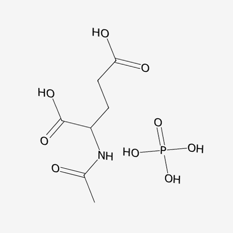 CC(=O)NC(CCC(=O)O)C(=O)O.O=P(O)(O)O